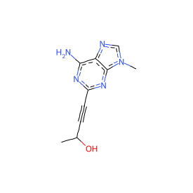 CC(O)C#Cc1nc(N)c2ncn(C)c2n1